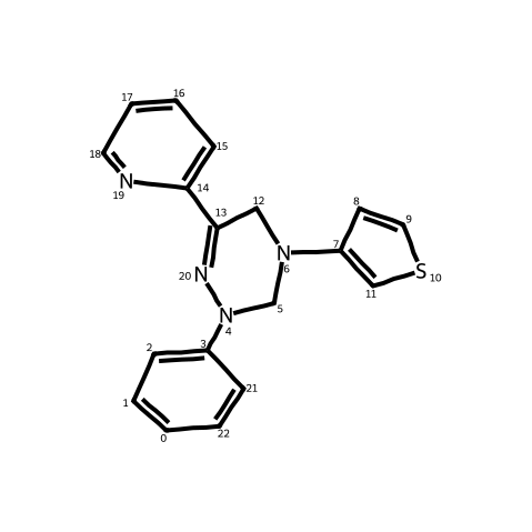 c1ccc(N2CN(c3ccsc3)CC(c3ccccn3)=N2)cc1